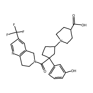 O=C(O)C1CCN(C2CCC(C(=O)N3CCc4ncc(C(F)(F)F)cc4C3)(c3cccc(O)c3)C2)CC1